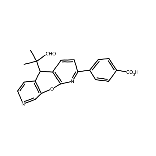 CC(C)(C=O)C1c2ccncc2Oc2nc(-c3ccc(C(=O)O)cc3)ccc21